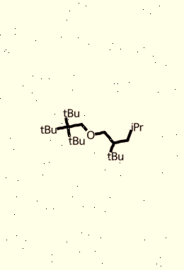 CC(C)CC(COCC(C(C)(C)C)(C(C)(C)C)C(C)(C)C)C(C)(C)C